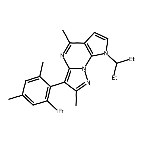 CCC(CC)n1ccc2c(C)nc3c(-c4c(C)cc(C)cc4C(C)C)c(C)nn3c21